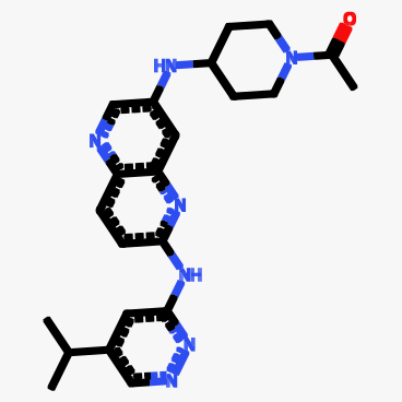 CC(=O)N1CCC(Nc2cnc3ccc(Nc4cc(C(C)C)cnn4)nc3c2)CC1